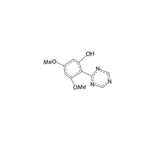 COc1cc(O)c(-c2ncncn2)c(OC)c1